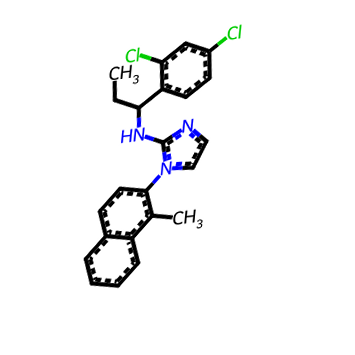 CCC(Nc1nccn1-c1ccc2ccccc2c1C)c1ccc(Cl)cc1Cl